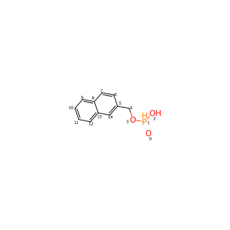 O=[PH](O)OCc1ccc2ccccc2c1